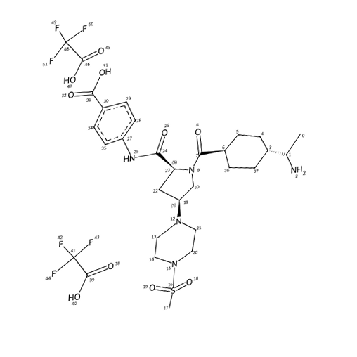 CC(N)[C@H]1CC[C@H](C(=O)N2C[C@@H](N3CCN(S(C)(=O)=O)CC3)C[C@H]2C(=O)Nc2ccc(C(=O)O)cc2)CC1.O=C(O)C(F)(F)F.O=C(O)C(F)(F)F